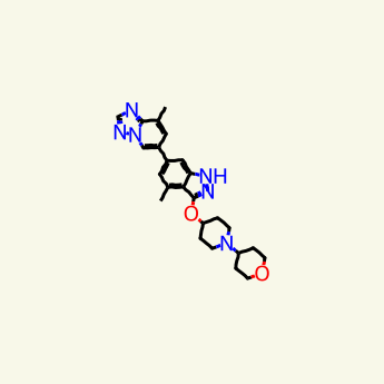 Cc1cc(-c2cc(C)c3ncnn3c2)cc2[nH]nc(OC3CCN(C4CCOCC4)CC3)c12